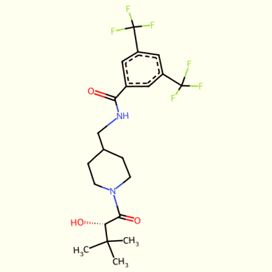 CC(C)(C)[C@H](O)C(=O)N1CCC(CNC(=O)c2cc(C(F)(F)F)cc(C(F)(F)F)c2)CC1